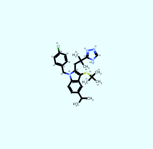 CC(C)c1ccc2c(c1)c(SC(C)(C)C)c(CC(C)(C)c1nnc[nH]1)n2Cc1ccc(Cl)cc1